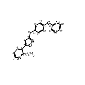 Nc1ncccc1-c1cc(Cc2ccc(Oc3cnccn3)cc2)no1